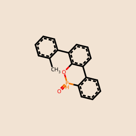 Cc1ccccc1-c1cccc2c1O[PH](=O)c1ccccc1-2